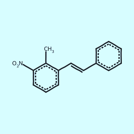 Cc1c(C=Cc2ccccc2)cccc1[N+](=O)[O-]